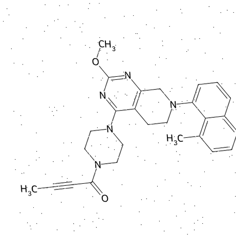 CC#CC(=O)N1CCN(c2nc(OC)nc3c2CCN(c2cccc4cccc(C)c24)C3)CC1